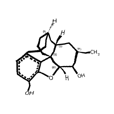 C[C@@H]1C[C@H]2[C@@H]3CCC[C@@]24c2c(ccc(O)c2O[C@H]4C1O)C3